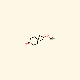 CCCCOC1CC2(CCC(=O)CC2)C1